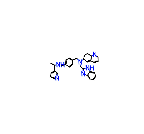 CC(NCc1ccc(CN(Cc2nc3ccccc3[nH]2)C2C=C3C=CC=NC3CC2)cc1)c1cccnc1